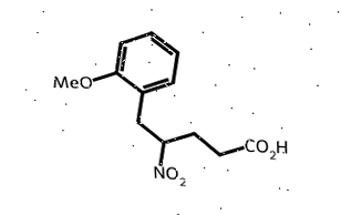 COc1ccccc1CC(CCC(=O)O)[N+](=O)[O-]